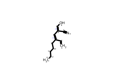 C=C/C(=C\C(C#N)=C\O)CCCCC